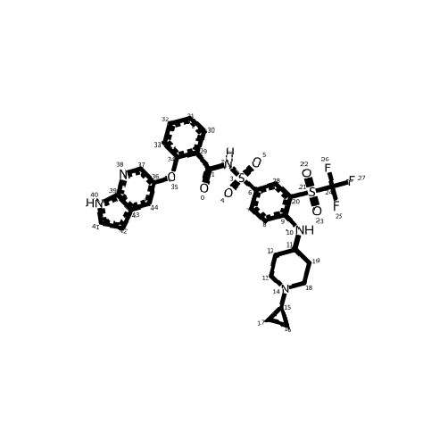 O=C(NS(=O)(=O)c1ccc(NC2CCN(C3CC3)CC2)c(S(=O)(=O)C(F)(F)F)c1)c1ccccc1Oc1cnc2[nH]ccc2c1